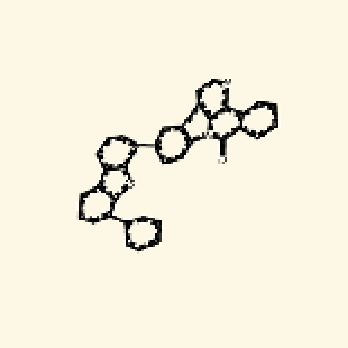 O=c1c2ccccc2c2nccc3c4cc(-c5cccc6c5sc5c(-c7ccccc7)cccc56)ccc4n1c32